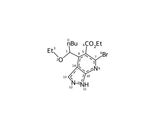 CCCCC(OCC)c1c(C(=O)OCC)c(Br)nc2[nH]ncc12